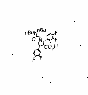 CCCCN(CCCC)C(=O)CN1C[C@H](c2ccc(F)c(F)c2)[C@H](C(=O)O)[C@H]1c1ccc(F)c(F)c1